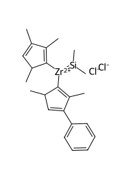 CC1=CC(C)[C]([Zr+2]([C]2=C(C)C(c3ccccc3)=CC2C)=[Si](C)C)=C1C.[Cl-].[Cl-]